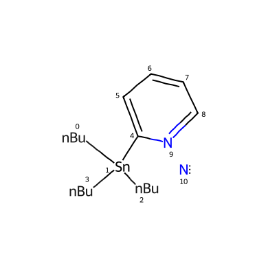 CCC[CH2][Sn]([CH2]CCC)([CH2]CCC)[c]1ccccn1.[N]